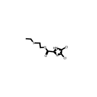 CCSCCOC(=O)c1nc(Cl)c(Cl)[nH]1